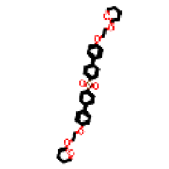 O=S(=O)(c1ccc(-c2ccc(OCCOC3CCCCO3)cc2)cc1)c1ccc(-c2ccc(OCCOC3CCCCO3)cc2)cc1